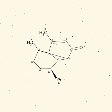 CC1=CC(=O)C2C3C1C2(C)CC[C@@H]3C(C)C